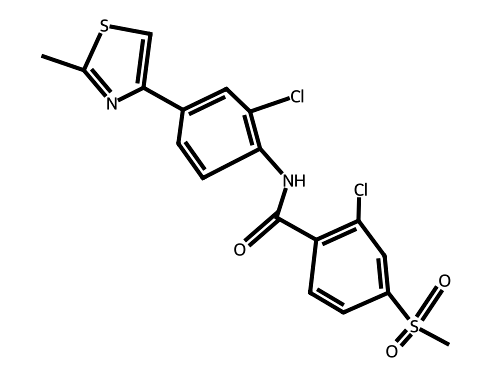 Cc1nc(-c2ccc(NC(=O)c3ccc(S(C)(=O)=O)cc3Cl)c(Cl)c2)cs1